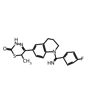 CC1SC(=O)NN=C1c1ccc2c(c1)CCCN2C(=N)c1ccc(F)cc1